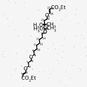 CCOC(=O)C=COCCCOCCCCCCCCO[Si](C)(C)C(C)(C)CCOC=CC(=O)OCC